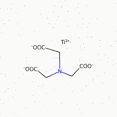 O=C([O-])CN(CC(=O)[O-])CC(=O)[O-].[Ti+3]